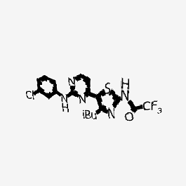 CCC(C)c1nc(NC(=O)C(F)(F)F)sc1-c1ccnc(Nc2cccc(Cl)c2)n1